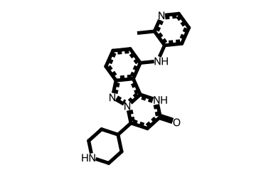 Cc1ncccc1Nc1cccc2nn3c(C4CCNCC4)cc(=O)[nH]c3c12